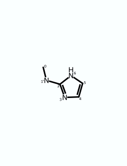 C[N]c1ncc[nH]1